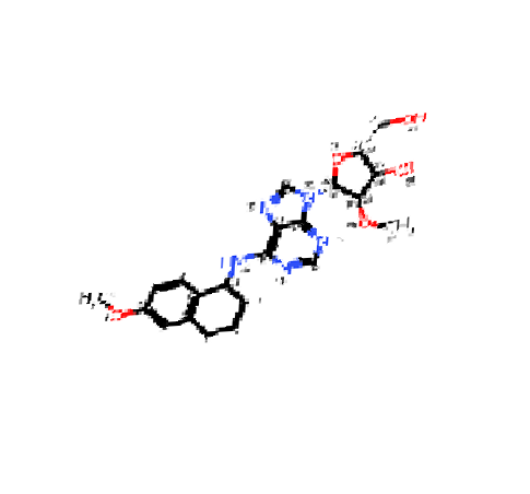 COc1ccc2c(c1)CCCC2Nc1ncnc2c1ncn2[C@@H]1O[C@H](CO)[C@@H](O)[C@H]1OC